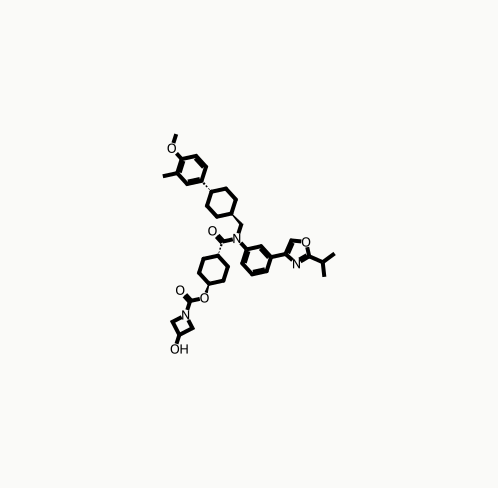 COc1ccc([C@H]2CC[C@H](CN(c3cccc(-c4coc(C(C)C)n4)c3)C(=O)[C@H]3CC[C@H](OC(=O)N4CC(O)C4)CC3)CC2)cc1C